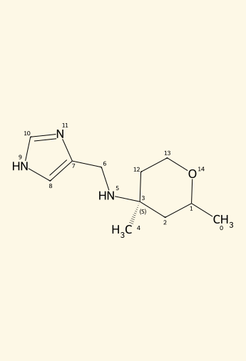 CC1C[C@@](C)(NCc2c[nH]cn2)CCO1